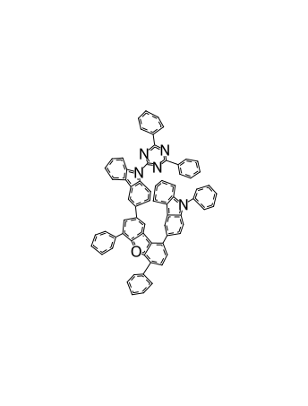 c1ccc(-c2nc(-c3ccccc3)nc(-n3c4ccccc4c4cc(-c5cc(-c6ccccc6)c6oc7c(-c8ccccc8)ccc(-c8ccc9c(c8)c8ccccc8n9-c8ccccc8)c7c6c5)ccc43)n2)cc1